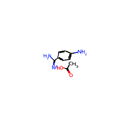 CC(=O)O.N=C(N)c1ccc(N)cc1